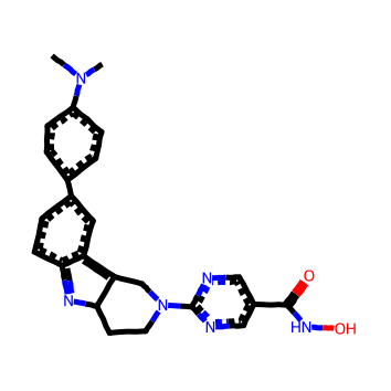 CN(C)c1ccc(-c2ccc3c(c2)=C2CN(c4ncc(C(=O)NO)cn4)CCC2N=3)cc1